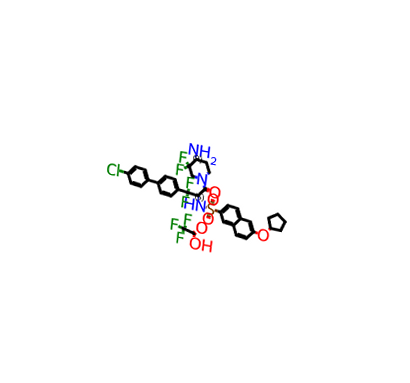 N[C@@H]1CCN(C(=O)[C@H](NS(=O)(=O)c2ccc3cc(OC4CCCC4)ccc3c2)C(F)(F)c2ccc(-c3ccc(Cl)cc3)cc2)CC1(F)F.O=C(O)C(F)(F)F